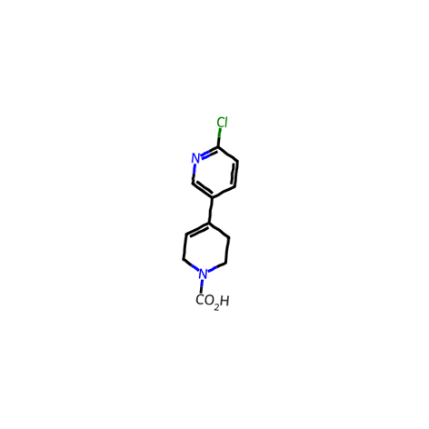 O=C(O)N1CC=C(c2ccc(Cl)nc2)CC1